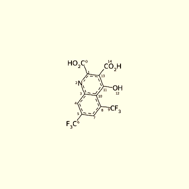 O=C(O)c1nc2cc(C(F)(F)F)cc(C(F)(F)F)c2c(O)c1C(=O)O